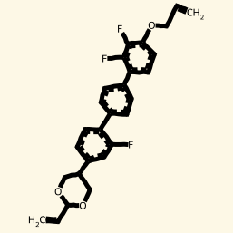 C=CCOc1ccc(-c2ccc(-c3ccc(C4COC(C=C)OC4)cc3F)cc2)c(F)c1F